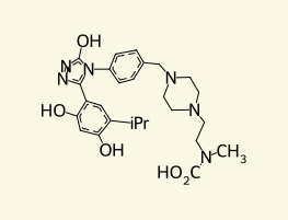 CC(C)c1cc(-c2nnc(O)n2-c2ccc(CN3CCN(CCN(C)C(=O)O)CC3)cc2)c(O)cc1O